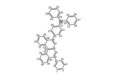 c1ccc(-c2cc3cc(-c4ccc(N(c5ccccc5)c5ccccc5)cc4)c4ccccc4c3c3ccccc23)cc1